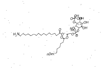 CCCCCCCCCCCCCCCC(=O)O[C@H](COC(=O)CCCCCCCCCCCCCCCN)COP(=O)(O)OC1C(O)[C@@H](OP(=O)(O)O)C(O)[C@@H](O)[C@H]1O